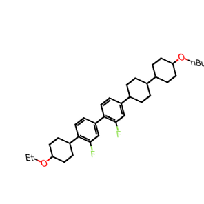 CCCCOC1CCC(C2CCC(c3ccc(-c4ccc(C5CCC(OCC)CC5)c(F)c4)c(F)c3)CC2)CC1